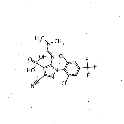 CN(C)C=Nc1c(P(=O)(O)O)c(C#N)nn1-c1c(Cl)cc(C(F)(F)F)cc1Cl